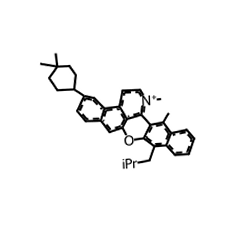 Cc1c2c(c(CC(C)C)c3ccccc13)Oc1cc3ccc(C4CCC(C)(C)CC4)cc3c3cc[n+](C)c-2c13